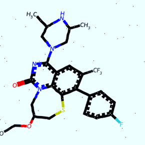 COCOC1CSc2c(-c3ccc(F)cc3)c(C(F)(F)F)cc3c(N4CC(C)NC(C)C4)nc(=O)n(c23)C1